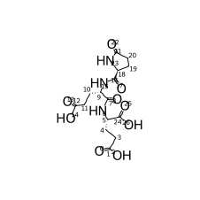 O=C(O)CC[C@H](NC(=O)[C@H](CCC(=O)O)NC(=O)[C@@H]1CCC(=O)N1)C(=O)O